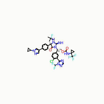 CC(C)(F)C[C@]1(c2ccc(-c3cnn(C4CC4)c3)cc2)NC(=N)N([C@H](COC(=O)NC2(C(F)(F)F)CC2)c2ccc(Cl)c(-c3ncnn3C(F)F)c2)C1=O